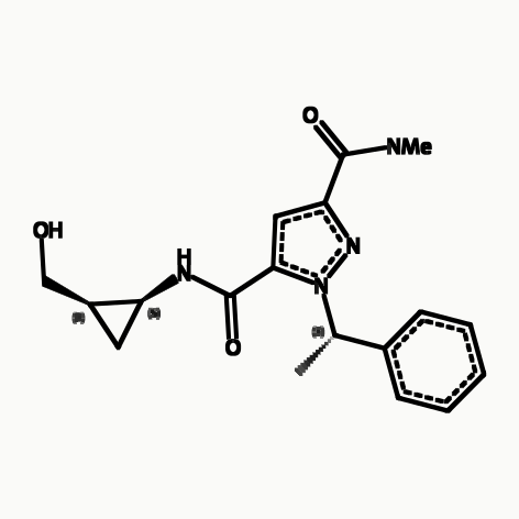 CNC(=O)c1cc(C(=O)N[C@H]2C[C@H]2CO)n([C@@H](C)c2ccccc2)n1